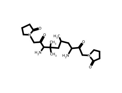 CC(CC(N)C(=O)CN1CCCC1=O)CC(C)(C)C(N)C(=O)CN1CCCC1=O